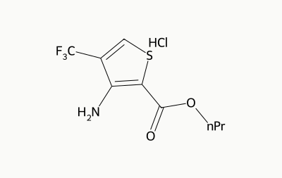 CCCOC(=O)c1scc(C(F)(F)F)c1N.Cl